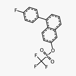 O=S(=O)(Oc1ccc2c(-c3ccc(F)cc3)cccc2c1)C(F)(F)F